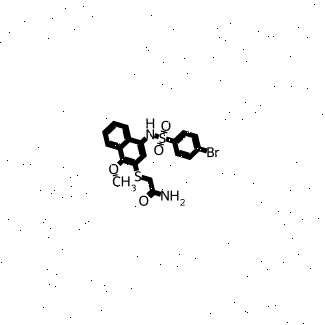 COc1c(SCC(N)=O)cc(NS(=O)(=O)c2ccc(Br)cc2)c2ccccc12